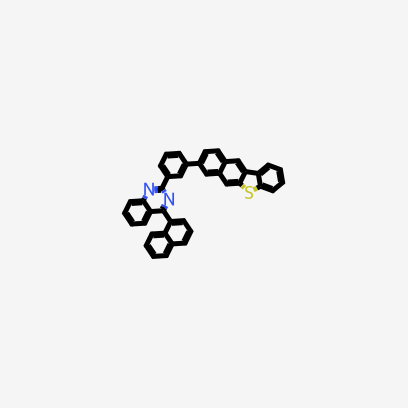 c1cc(-c2ccc3cc4c(cc3c2)sc2ccccc24)cc(-c2nc(-c3cccc4ccccc34)c3ccccc3n2)c1